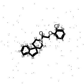 O=C(COc1ccccc1C(F)(F)F)N1CCC2(C=Cc3ccccc32)CC1